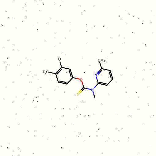 CCc1cc(OC(=S)N(C)c2cccc(OC)n2)ccc1C(F)(F)F